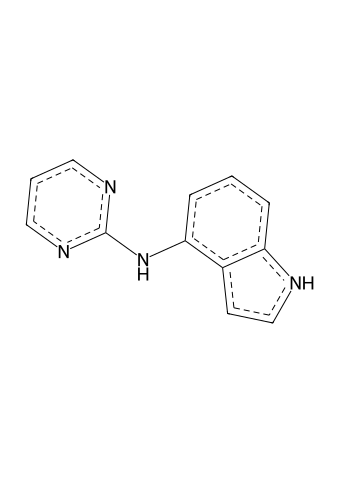 c1cnc(Nc2cccc3[nH]ccc23)nc1